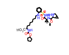 C=C[C@@H]1C[C@]1(NC(=O)C1NCC2CC21)C(=O)NS(=O)(=O)c1ccccc1NCCCCCCC[C@H](NC(=O)OC1CCCC1)C(=O)O